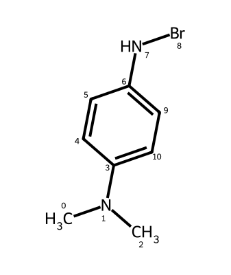 CN(C)c1ccc(NBr)cc1